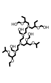 CCOC(COC(C)C)CN(CO)CCN(CCN(CO)CCN(CC(CC)OCO)CC(CC)OCO)CC(COC(C)C)OCO